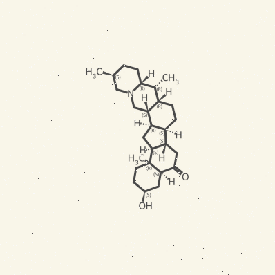 C[C@H]1CC[C@@H]2[C@H](C)[C@@H]3CC[C@@H]4[C@@H](C[C@H]5[C@H]4CC(=O)[C@H]4C[C@@H](O)CC[C@@]45C)[C@@H]3CN2C1